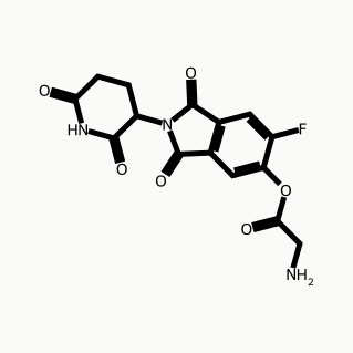 NCC(=O)Oc1cc2c(cc1F)C(=O)N(C1CCC(=O)NC1=O)C2=O